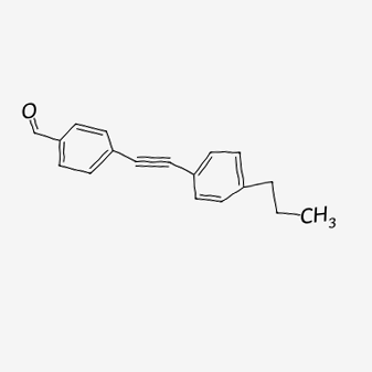 CCCc1ccc(C#Cc2ccc(C=O)cc2)cc1